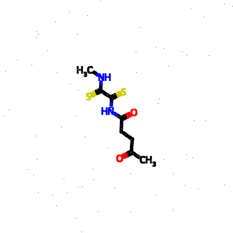 CNC(=S)C(=S)NC(=O)CCC(C)=O